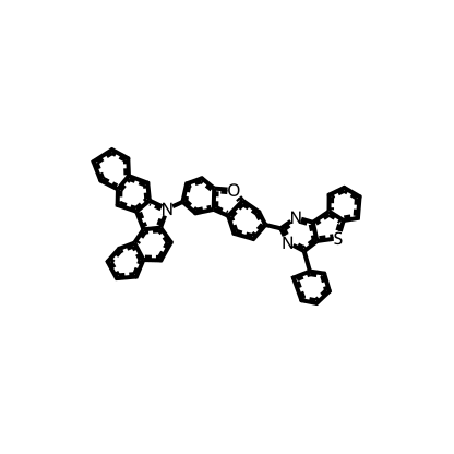 c1ccc(-c2nc(-c3ccc4c(c3)oc3ccc(-n5c6cc7ccccc7cc6c6c7ccccc7ccc65)cc34)nc3c2sc2ccccc23)cc1